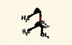 CCCCCCCCCc1ccc(OP(=S)([S-])Oc2ccc(CCCCCCCCC)cc2)cc1.CCCCCCCCCc1ccc(OP(=S)([S-])Oc2ccc(CCCCCCCCC)cc2)cc1.[Zn+2]